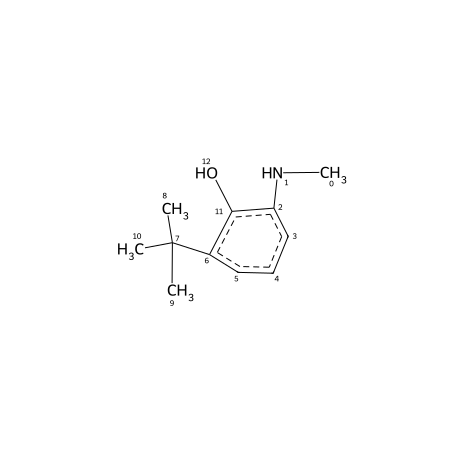 CNc1cccc(C(C)(C)C)c1O